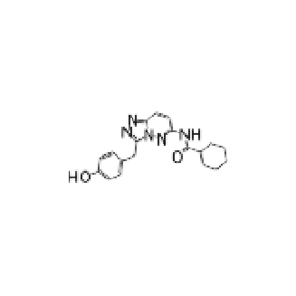 O=C(Nc1ccc2nnc(Cc3ccc(O)cc3)n2n1)C1CCCCC1